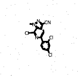 C/C=C(\N=C(\Cl)c1cc(C#N)nn1C)c1ccc(Cl)cc1Cl